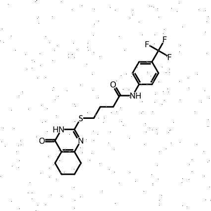 O=C(CCCSc1nc2c(c(=O)[nH]1)CCCC2)Nc1ccc(C(F)(F)F)cc1